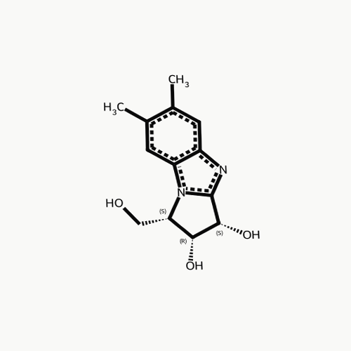 Cc1cc2nc3n(c2cc1C)[C@@H](CO)[C@@H](O)[C@H]3O